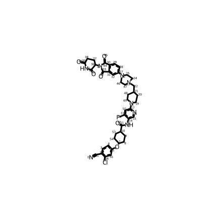 N#Cc1ccc(OC2CCC(C(=O)Nc3cnc(N4CCC(CN5CCN(c6ccc7c(c6)C(=O)N(C6CCC(=O)NC6=O)C7=O)CC5)CC4)cc3F)CC2)cc1Cl